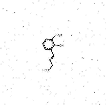 O=C(O)CN=Cc1cccc(C(=O)O)c1O